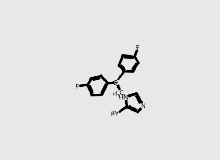 CB(c1ccc(F)cc1)c1ccc(F)cc1.CC(C)c1cnc[nH]1